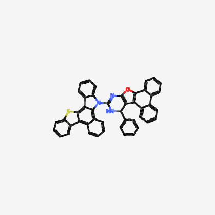 c1ccc(C2NC(n3c4ccccc4c4c5sc6ccccc6c5c5ccccc5c43)=Nc3oc4c5ccccc5c5ccccc5c4c32)cc1